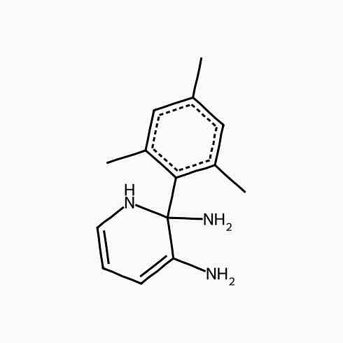 Cc1cc(C)c(C2(N)NC=CC=C2N)c(C)c1